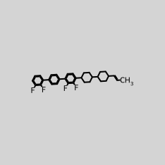 C/C=C/C1CCC(C2CCC(c3ccc(-c4ccc(-c5cccc(F)c5F)cc4)c(F)c3F)CC2)CC1